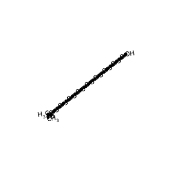 CC=C(C)C(=O)OCCOCCOCCOCCOCCOCCOCCOCCOCCOCCOCCOCCOCCOCCOCCOCCOCCO